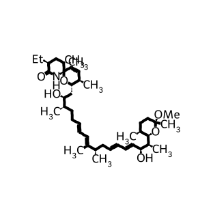 CC[C@H]1C[C@H](C)[C@@]2(NC1=O)O[C@@H](C[C@H](O)[C@@H](C)CC/C=C/C=C(\C)[C@@H](C)C/C=C/C=C/[C@H](O)[C@H](C)[C@@H]1O[C@](C)(OC)CC[C@@H]1C)[C@H](C)C=C2C